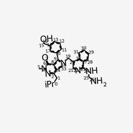 CC(C)Cc1nn(C)c(=O)c2c(-c3cccc(CO)c3)n(Cc3cnc(NCN)c4ccccc34)cc12